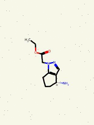 CCOC(=O)Cn1ncc2c1CCC[C@H]2N